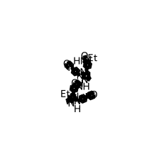 CCc1c(-c2ccc3c(c2)NCCO3)nc(Nc2ccc(N3CCOCC3)cc2)c2nccn12.CCn1c(=O)[nH]c2cc(-c3cn4ccnc4c(Nc4ccc(N5CCOCC5)cc4)n3)ccc21